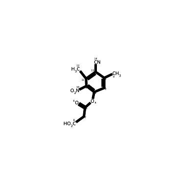 Cc1cc(OC(=O)CC(=O)O)c([N+](=O)[O-])c(C)c1C#N